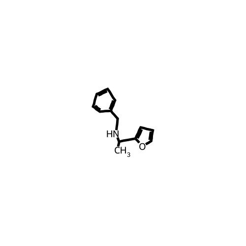 CC(NCc1ccccc1)c1ccco1